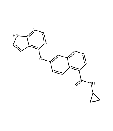 O=C(NC1CC1)c1cccc2cc(Oc3ncnc4[nH]ccc34)ccc12